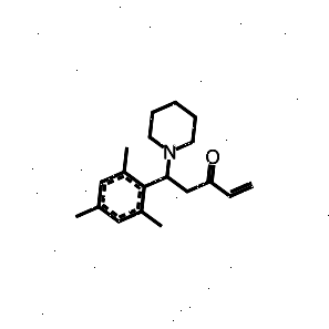 C=CC(=O)CC(c1c(C)cc(C)cc1C)N1CCCCC1